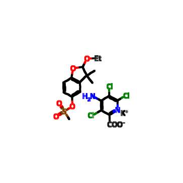 CCOC1Oc2ccc(OS(C)(=O)=O)cc2C1(C)C.Nc1c(Cl)c(Cl)nc(C(=O)[O-])c1Cl.[K+]